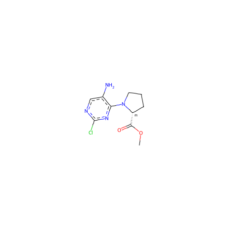 COC(=O)[C@H]1CCCN1c1nc(Cl)ncc1N